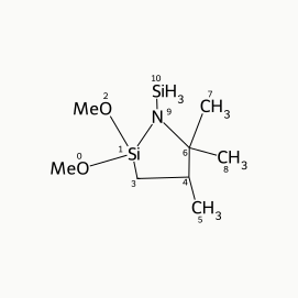 CO[Si]1(OC)CC(C)C(C)(C)N1[SiH3]